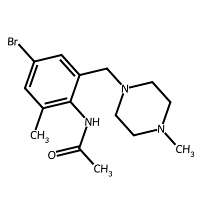 CC(=O)Nc1c(C)cc(Br)cc1CN1CCN(C)CC1